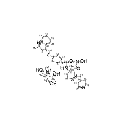 Cc1cc(COc2ccc(C(=O)NC3(CC(=O)NO)CCCN(Cc4ccncc4)C3)cc2)c2ccccc2n1.NC(CO)(CO)CO